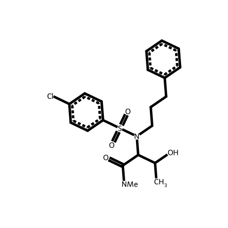 CNC(=O)C(C(C)O)N(CCCc1ccccc1)S(=O)(=O)c1ccc(Cl)cc1